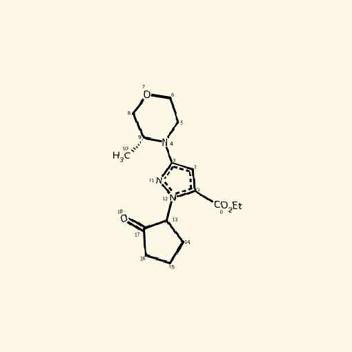 CCOC(=O)c1cc(N2CCOC[C@H]2C)nn1C1CCCC1=O